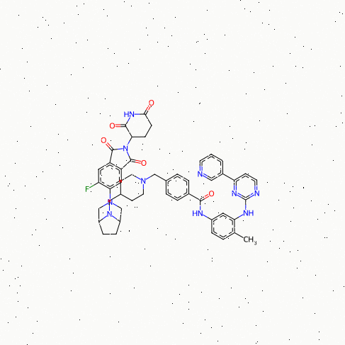 Cc1ccc(NC(=O)c2ccc(CN3CCC(CN4C5CCC4CN(c4cc6c(cc4F)C(=O)N(C4CCC(=O)NC4=O)C6=O)C5)CC3)cc2)cc1Nc1nccc(-c2cccnc2)n1